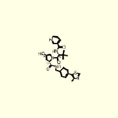 Cc1ncsc1-c1ccc(CNC(=O)[C@@H]2C[C@@H](O)CN2C(=O)[C@@H](NC(=O)c2cccnc2)C(C)(C)C)cc1